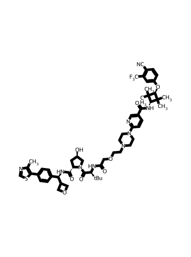 Cc1ncsc1-c1ccc([C@@H](NC(=O)[C@@H]2C[C@@H](O)CN2C(=O)[C@@H](NC(=O)COCCN2CCN(c3ccc(C(=O)N[C@H]4C(C)(C)[C@H](Oc5ccc(C#N)c(C(F)(F)F)c5)C4(C)C)cn3)CC2)C(C)(C)C)C2COC2)cc1